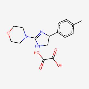 Cc1ccc(C2CNC(N3CCOCC3)=N2)cc1.O=C(O)C(=O)O